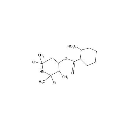 CCC1(C)CC(OC(=O)C2CCCCC2C(=O)O)C(C)C(C)(CC)N1